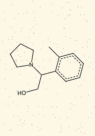 Cc1ccccc1C(CO)N1CCCC1